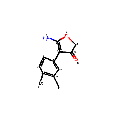 CCc1ccc(C2=C(N)OCC2=O)cc1C